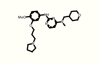 COc1ccc(Nc2nccc(N(C)CC3CCOCC3)n2)cc1OCCCN1CCCC1